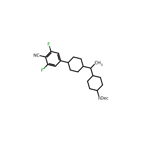 CCCCCCCCCCC1CCC(C(C)C2CCC(c3cc(F)c(C#N)c(F)c3)CC2)CC1